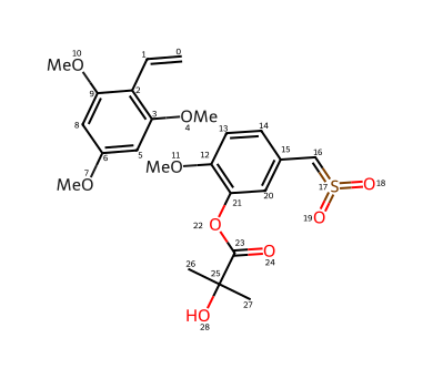 C=Cc1c(OC)cc(OC)cc1OC.COc1ccc(C=S(=O)=O)cc1OC(=O)C(C)(C)O